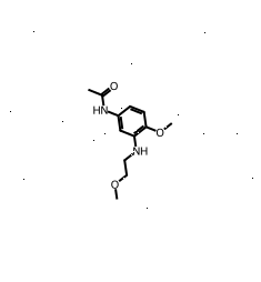 COCCNc1cc(NC(C)=O)ccc1OC